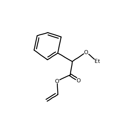 C=COC(=O)C(OCC)c1ccccc1